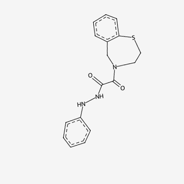 O=C(NNc1ccccc1)C(=O)N1CCSc2ccccc2C1